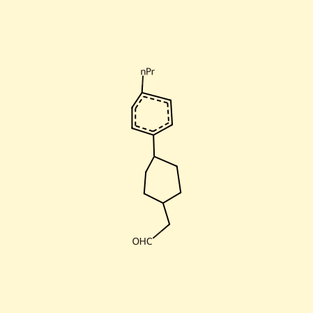 CCCc1ccc(C2CCC(CC=O)CC2)cc1